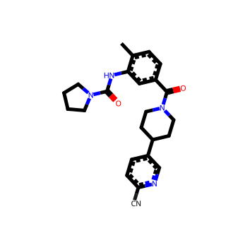 Cc1ccc(C(=O)N2CCC(c3ccc(C#N)nc3)CC2)cc1NC(=O)N1CCCC1